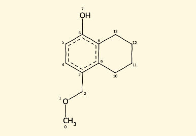 COCc1ccc(O)c2c1CCCC2